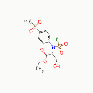 CCOC(=O)C(CO)N(c1ccc(S(C)(=O)=O)cc1)S(=O)(=O)F